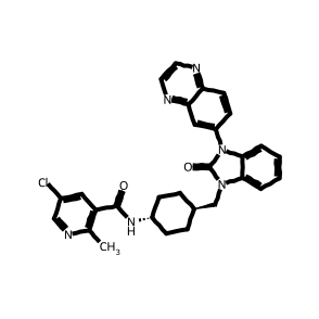 Cc1ncc(Cl)cc1C(=O)N[C@H]1CC[C@H](Cn2c(=O)n(-c3ccc4nccnc4c3)c3ccccc32)CC1